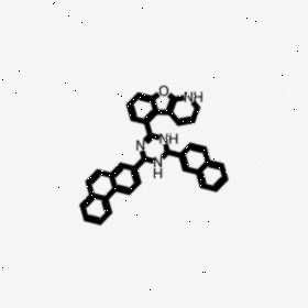 C1=Cc2c(oc3cccc(C4=NC(c5ccc6c(ccc7ccccc76)c5)NC(c5ccc6ccccc6c5)N4)c23)NC1